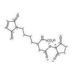 O=C(O)NC(CCCCN1C(=O)C=CC1=O)CC(=O)ON1C(=O)CCC1=O